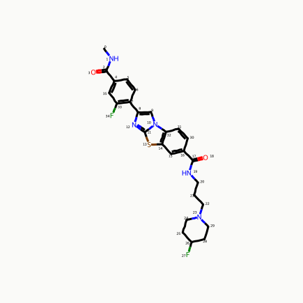 CNC(=O)c1ccc(-c2cn3c(n2)sc2cc(C(=O)NCCCN4CCC(F)CC4)ccc23)c(F)c1